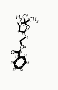 CC1(C)OC[C@@H](CCOC(=O)c2ccccc2)O1